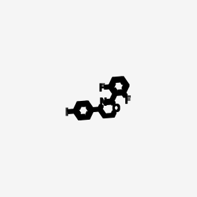 Fc1cccc(F)c1C1=NC(c2ccc(I)cc2)CCO1